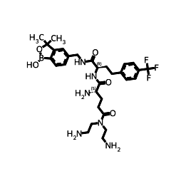 CC1(C)OB(O)c2ccc(CNC(=O)[C@@H](CCc3ccc(C(F)(F)F)cc3)NC(=O)[C@@H](N)CCC(=O)N(CCN)CCN)cc21